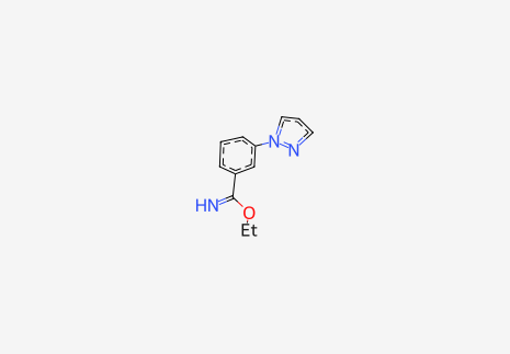 CCOC(=N)c1cccc(-n2cccn2)c1